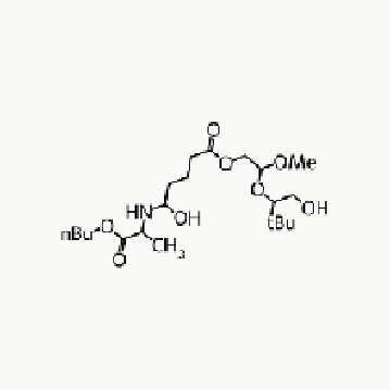 CCCCOC(=O)C(C)NC(O)CCCC(=O)OCC(OC)OC(CO)C(C)(C)C